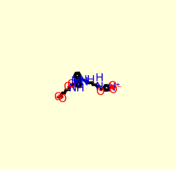 COC(=O)CCCCC(=O)NC(=O)c1cccc2c(NNCCCCCCNC(=O)c3ccc([N+](=O)[O-])cc3)c3ccccc3nc12